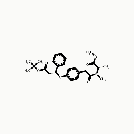 COC(=O)[C@H](C)N(C)C(=O)Cc1ccc(O[C@H](CC(=O)OC(C)(C)C)c2ccccc2)cc1